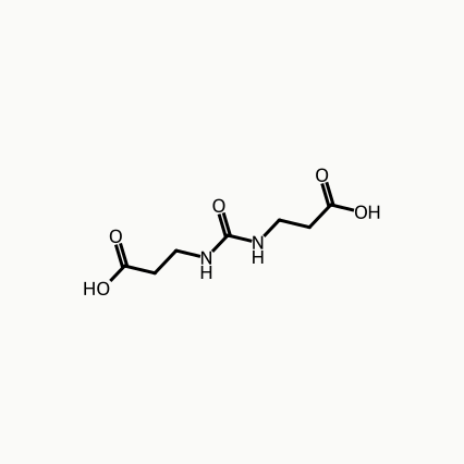 O=C(O)CCNC(=O)NCCC(=O)O